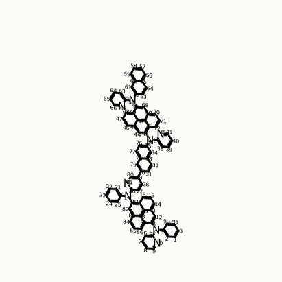 c1ccc(N(c2ccccn2)c2cc3cccc4c(N(c5ccccc5)c5ccc(-c6ccc7cc(N(c8ccccn8)c8cc9cccc%10c(N(c%11ccc%12ccccc%12c%11)c%11ccccn%11)cc%11cccc8c%11c9%10)ccc7c6)cn5)cc5cccc2c5c34)cc1